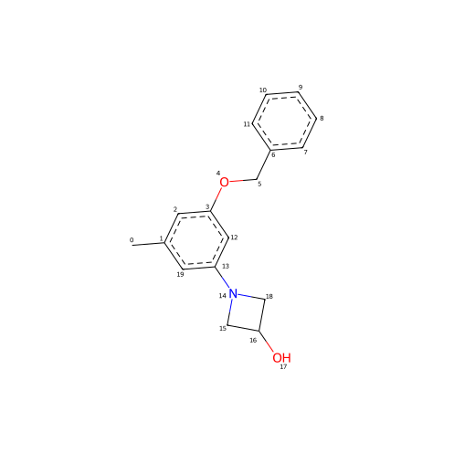 Cc1cc(OCc2ccccc2)cc(N2CC(O)C2)c1